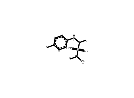 [CH2]c1ccc(NC(C)S(=O)(=O)C(C)O)cc1